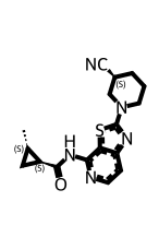 C[C@H]1C[C@@H]1C(=O)Nc1nccc2nc(N3CCC[C@H](C#N)C3)sc12